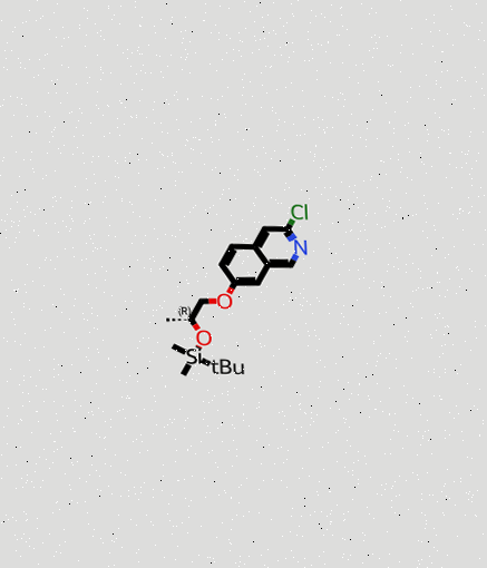 C[C@H](COc1ccc2cc(Cl)ncc2c1)O[Si](C)(C)C(C)(C)C